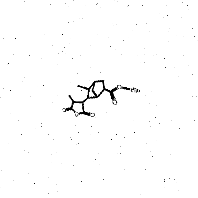 CC1C(=O)OC(=O)C1C1C(C)C2CC(C(=O)OC(C)(C)C)C1C2